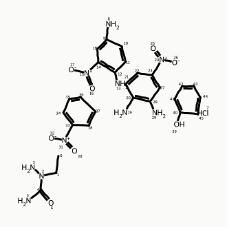 CCN(N)C(N)=O.Cl.Nc1ccc(N)c([N+](=O)[O-])c1.Nc1ccc([N+](=O)[O-])cc1N.O=[N+]([O-])c1ccccc1.Oc1ccccc1